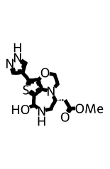 COC(=O)C[C@@H]1CNC(O)c2sc(-c3cn[nH]c3)c3c2N1CCO3